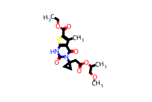 CCOC(=O)c1sc2[nH]c(=O)n(C3(CC(=O)OC(C)COC)CC3)c(=O)c2c1C